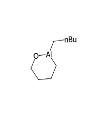 CCCC[CH2][Al]1[CH2]CCC[O]1